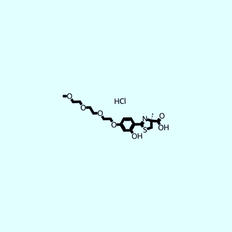 COCCOCCOCCOc1ccc(C2=N[C@@](C)(C(=O)O)CS2)c(O)c1.Cl